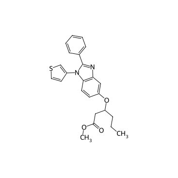 CCCC(CC(=O)OC)Oc1ccc2c(c1)nc(-c1ccccc1)n2-c1ccsc1